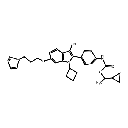 CC(OC(=O)Nc1ccc(-c2c(C#N)c3ccc(OCCCn4cccn4)cc3n2C2CCC2)cc1)C1CC1